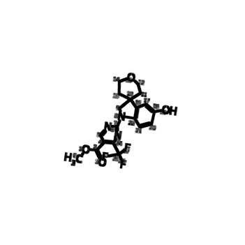 COC(=O)c1cnc(N2CC3(CCOCC3)c3cc(O)ccc32)nc1C(F)(F)F